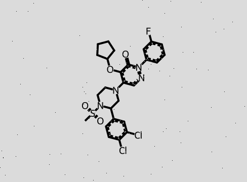 CS(=O)(=O)N1CCN(c2cnn(-c3cccc(F)c3)c(=O)c2OC2CCCC2)CC1c1ccc(Cl)c(Cl)c1